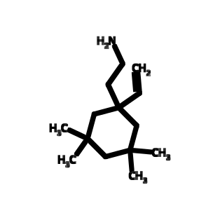 C=CC1(CCN)CC(C)(C)CC(C)(C)C1